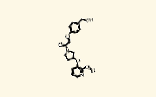 CCOc1ncccc1OC1CCN(C(=O)COc2ccc(CO)cc2)C1